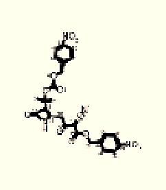 CC(C)(OC(=O)OCc1ccc([N+](=O)[O-])cc1)[C@@H]1C(=O)N[C@@H]1CC(=O)C(=[N+]=[N-])C(=O)OCc1ccc([N+](=O)[O-])cc1